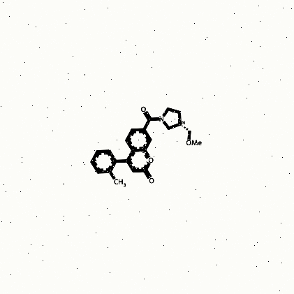 COC[C@H]1CCN(C(=O)c2ccc3c(-c4ccccc4C)cc(=O)oc3c2)C1